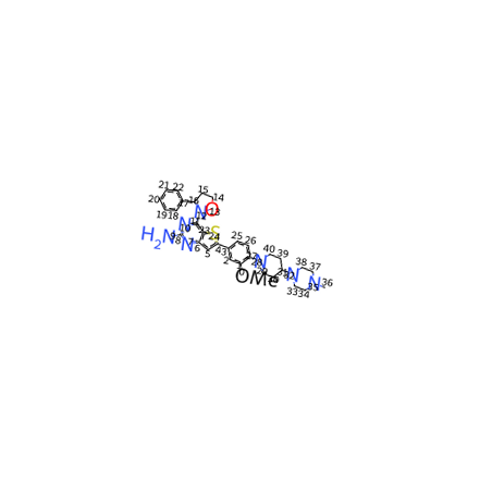 COc1cc(-c2cc3nc(N)nc(N4OCCC4c4ccccc4)c3s2)ccc1N1CCC(N2CCN(C)CC2)CC1